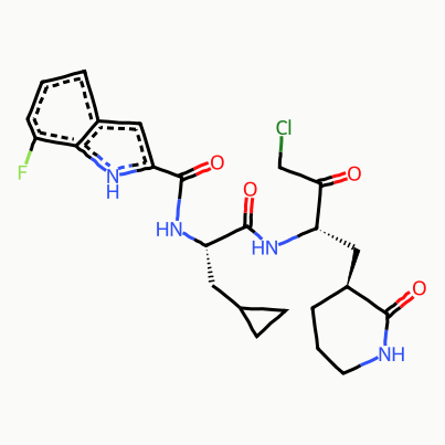 O=C(N[C@@H](CC1CC1)C(=O)N[C@@H](C[C@@H]1CCCNC1=O)C(=O)CCl)c1cc2cccc(F)c2[nH]1